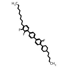 CCCCCCCCCc1ccc(-c2ccc(-c3ccc(C4=CCC(CCCCC)CC4)c(F)c3)cc2)c(F)c1F